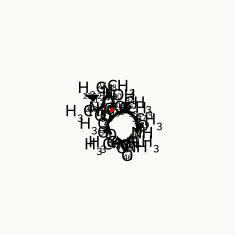 CC[C@H]1OC(=O)C(C)C(=O)[C@H](C)[C@@H](OC2OC(C(=O)N(C)C3CC3)CC(N(C)C)C2O)[C@](C)(OC)C[C@@H](C)C(=O)N[C@H](C)[C@H]2NC(=O)O[C@@]21CC